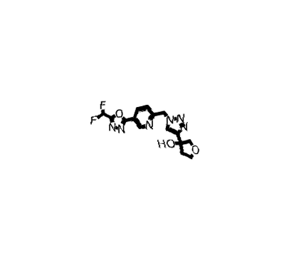 OC1(c2cn(Cc3ccc(-c4nnc(C(F)F)o4)cn3)nn2)CCOC1